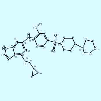 COc1cc(S(=O)(=O)N2CCC(N3CCOCC3)CC2)ccc1Nc1nc(NCC2CC2)c2cc[nH]c2n1